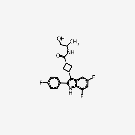 CC(CO)NC(=O)[C@H]1C[C@@H](c2c(-c3ccc(F)cc3)[nH]c3c(F)cc(F)cc32)C1